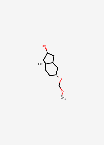 COCO[C@@H]1CC[C@H]2C[C@@H](O)CC2C1